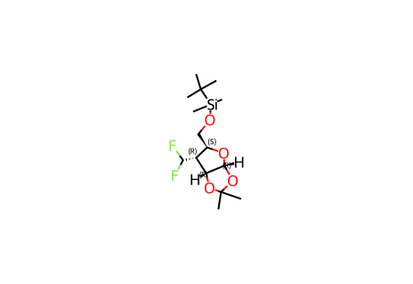 CC1(C)O[C@H]2O[C@H](CO[Si](C)(C)C(C)(C)C)[C@@H](C(F)F)[C@H]2O1